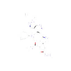 CCn1ncc2c(NC3CCOCC3)c(C3=NOC(CC(N)=O)(CC(N)=O)C3)cnc21